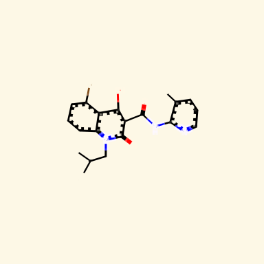 Cc1cccnc1NC(=O)c1c(O)c2c(Br)cccc2n(CC(C)C)c1=O